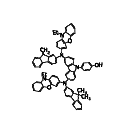 C=C1c2ccccc2-c2ccc(N(c3ccc4c(c3)Oc3ccccc3N4CC)c3ccc4c(c3)c3cc(N(c5ccc6c(c5)Oc5ccccc5N6CC)c5ccc6c(c5)C(C)(C)c5ccccc5-6)ccc3n4-c3ccc(O)cc3)cc21